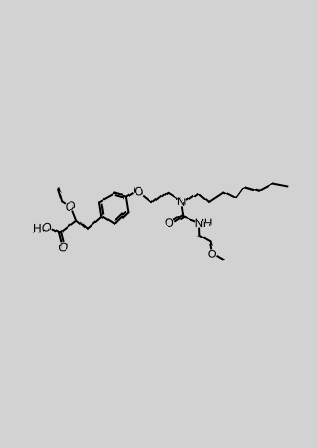 CCCCCCCCN(CCOc1ccc(CC(OCC)C(=O)O)cc1)C(=O)NCCOC